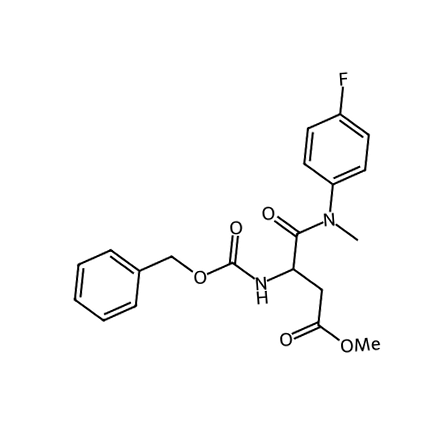 COC(=O)CC(NC(=O)OCc1ccccc1)C(=O)N(C)c1ccc(F)cc1